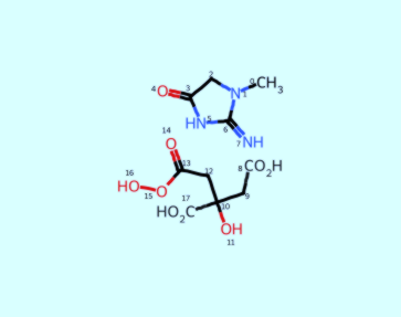 CN1CC(=O)NC1=N.O=C(O)CC(O)(CC(=O)OO)C(=O)O